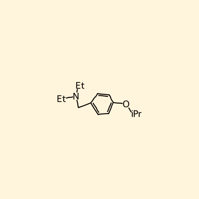 CCN(CC)Cc1ccc(OC(C)C)cc1